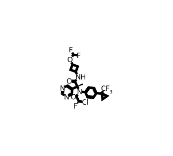 C[C@](C(=O)NC1CC(OC(F)F)C1)(c1cncnc1)N(C(=O)[C@H](F)Cl)c1ccc(C2(C(F)(F)F)CC2)cc1